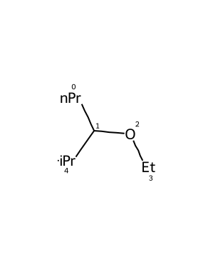 CCCC(OCC)[C](C)C